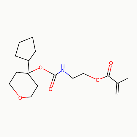 C=C(C)C(=O)OCCNC(=O)OC1(C2CCCC2)CCOCC1